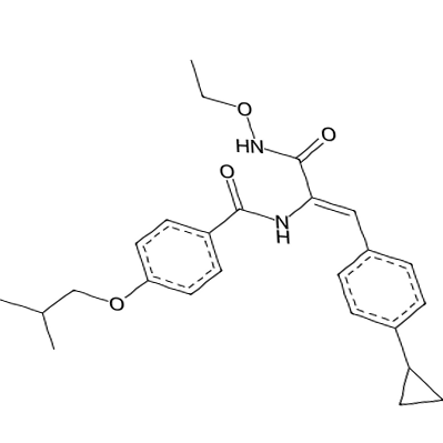 CCONC(=O)/C(=C/c1ccc(C2CC2)cc1)NC(=O)c1ccc(OCC(C)C)cc1